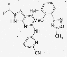 COc1c(Nc2cc(Nc3cccc(C#N)n3)nc3[nH]c(C(F)F)nc23)cccc1-c1noc(C)n1